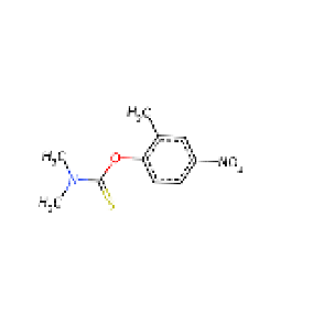 Cc1cc([N+](=O)[O-])ccc1OC(=S)N(C)C